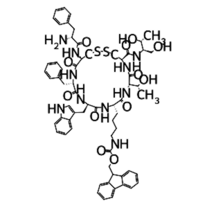 C[C@@H](O)[C@@H]1NC(=O)[C@H](CCCCNC(=O)OCC2c3ccccc3-c3ccccc32)NC(=O)[C@@H](Cc2c[nH]c3ccccc23)NC(=O)[C@H](Cc2ccccc2)NC(=O)[C@@H](NC(=O)[C@H](N)Cc2ccccc2)CSSC[C@@H](C(=O)N[C@H](CO)[C@@H](C)O)NC1=O